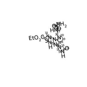 CCOC(=O)c1sc(Nc2nc3c(c(N4CCNC(=O)C4)n2)CCCN3CCNS(N)(=O)=O)nc1C